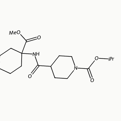 COC(=O)C1(NC(=O)C2CCN(C(=O)OC(C)C)CC2)CCCCC1